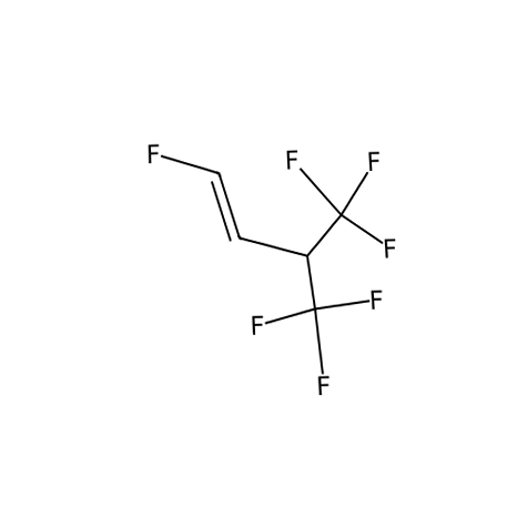 F/C=C/C(C(F)(F)F)C(F)(F)F